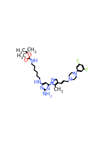 Cc1c(C=CCN2CCN(c3cc(F)cc(F)c3)CC2)cnn1-c1cc(NCCCCCCNC(=O)OC(C)(C)C)nc(N)n1